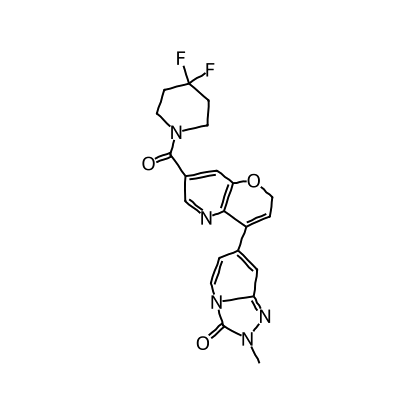 Cn1nc2cc(C3=CCOc4cc(C(=O)N5CCC(F)(F)CC5)cnc43)ccn2c1=O